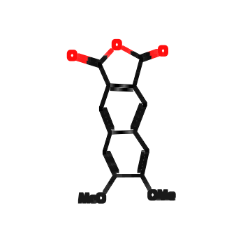 COc1cc2cc3c(cc2cc1OC)C(=O)OC3=O